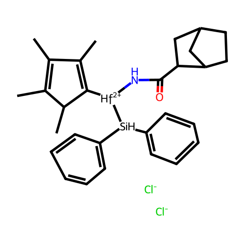 CC1=C(C)C(C)[C]([Hf+2]([NH]C(=O)C2CC3CCC2C3)[SiH](c2ccccc2)c2ccccc2)=C1C.[Cl-].[Cl-]